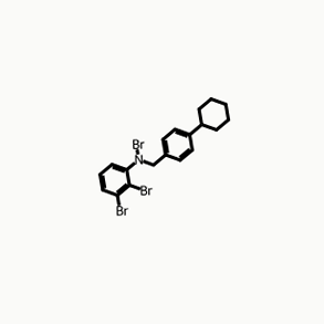 Brc1cccc(N(Br)Cc2ccc(C3CCCCC3)cc2)c1Br